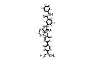 CN(C)c1ccc(-c2ccc(CC3(C(=O)Nc4cccc(C(=O)Nc5ccccn5)c4)CCCCC3)cc2)cc1